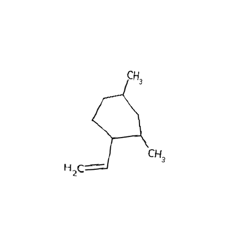 C=CC1CCC(C)CC1C